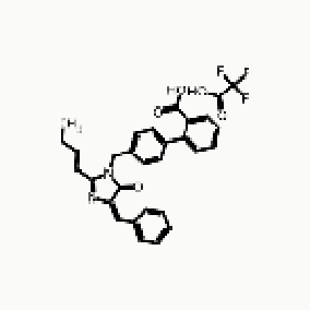 CCCCC1=NC(=Cc2ccccc2)C(=O)N1Cc1ccc(-c2ccccc2C(=O)O)cc1.O=C(O)C(F)(F)F